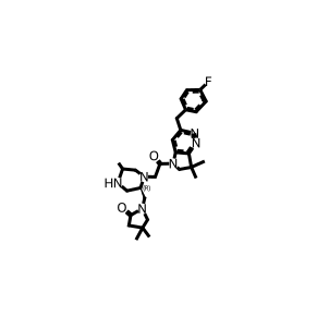 CC1CN(CC(=O)N2CC(C)(C)c3nnc(Cc4ccc(F)cc4)cc32)[C@@H](CN2CC(C)(C)CC2=O)CN1